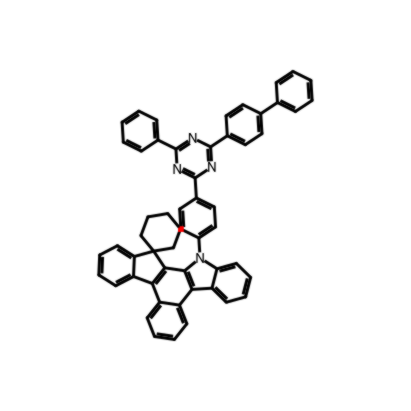 c1ccc(-c2ccc(-c3nc(-c4ccccc4)nc(-c4ccc(-n5c6ccccc6c6c7ccccc7c7c(c65)C5(CCCCC5)c5ccccc5-7)cc4)n3)cc2)cc1